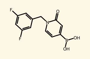 O=c1cc(B(O)O)ccn1Cc1cc(F)cc(F)c1